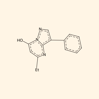 CCc1cc(O)n2ncc(-c3ccccc3)c2n1